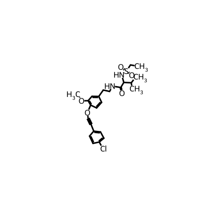 CCS(=O)(=O)NC(C(=O)NCCc1ccc(OC#Cc2ccc(Cl)cc2)c(OC)c1)C(C)C